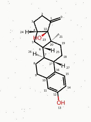 C=C1CC[C@H]2C[C@H]3[C@@H]4CCc5cc(O)ccc5[C@H]4CC[C@]3(C)[C@@]12O